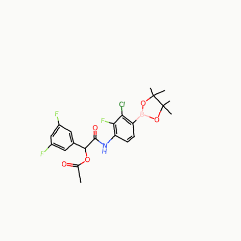 CC(=O)OC(C(=O)Nc1ccc(B2OC(C)(C)C(C)(C)O2)c(Cl)c1F)c1cc(F)cc(F)c1